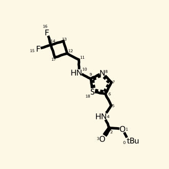 CC(C)(C)OC(=O)NCc1cnc(NCC2CC(F)(F)C2)s1